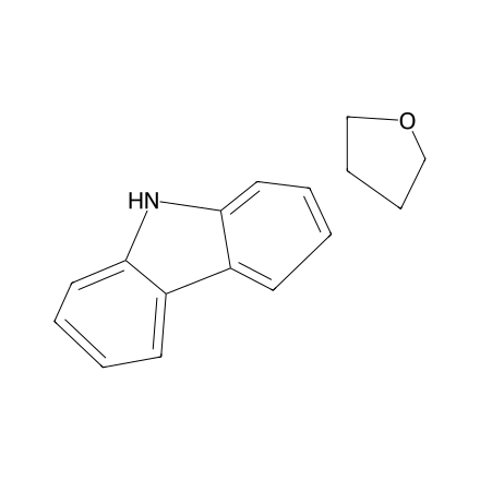 C1CCOC1.c1ccc2c(c1)[nH]c1ccccc12